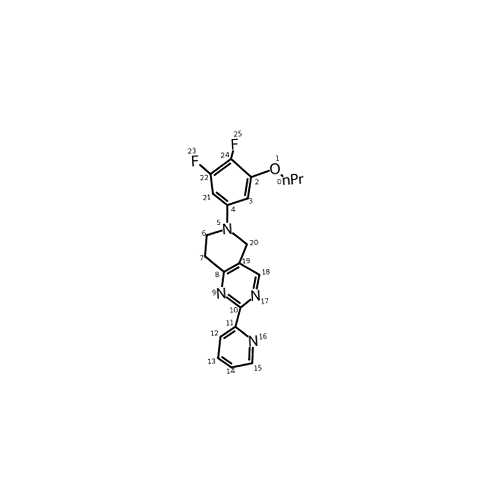 CCCOc1cc(N2CCc3nc(-c4ccccn4)ncc3C2)cc(F)c1F